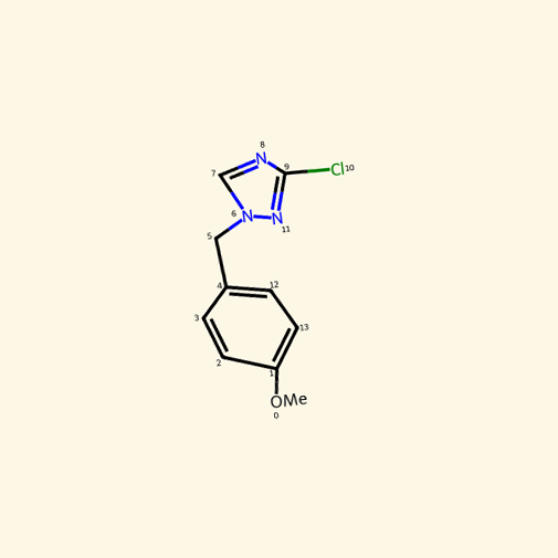 COc1ccc(Cn2cnc(Cl)n2)cc1